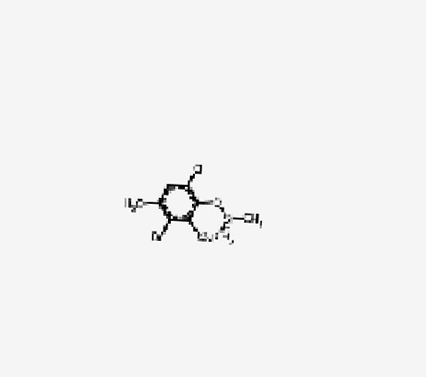 Cc1cc(Cl)c(O[SiH](C)C)c(C(C)(C)C)c1Br